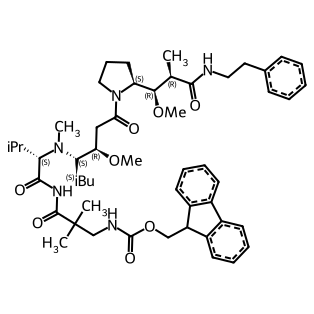 CC[C@H](C)[C@@H]([C@@H](CC(=O)N1CCC[C@H]1[C@H](OC)[C@@H](C)C(=O)NCCc1ccccc1)OC)N(C)[C@H](C(=O)NC(=O)C(C)(C)CNC(=O)OCC1c2ccccc2-c2ccccc21)C(C)C